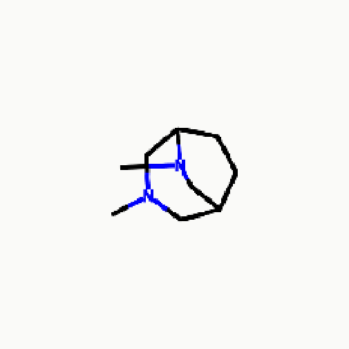 CN1CC2CCC(C1)N(C)C2